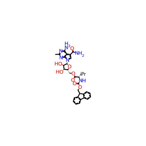 Cc1nc(N)c2c(C(N)=O)cn([C@@H]3O[C@H](COC(=O)[C@@H](NC(=O)OCC4c5ccccc5-c5ccccc54)C(C)C)[C@@H](O)[C@H]3O)c2n1